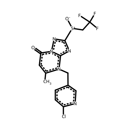 Cc1cc(=O)n2nc([S+]([O-])CC(F)(F)F)nc2n1Cc1ccc(Cl)nc1